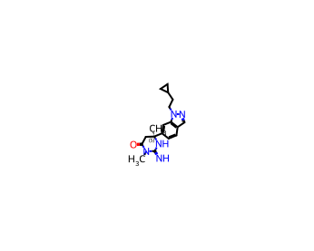 CN1C(=N)N[C@](C)(c2ccc3cnn(CCC4CC4)c3c2)CC1=O